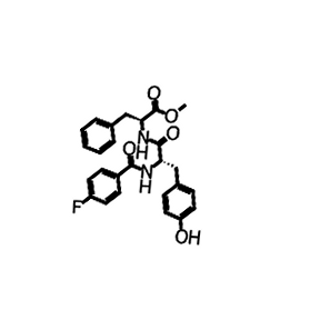 COC(=O)[C@H](Cc1ccccc1)NC(=O)[C@H](Cc1ccc(O)cc1)NC(=O)c1ccc(F)cc1